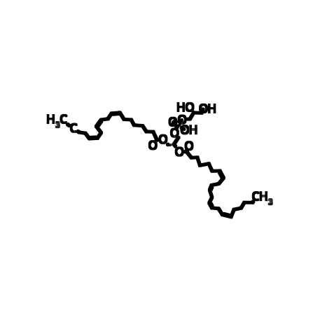 CCCCC/C=C\C/C=C\C/C=C\C/C=C\CCCCCC(=O)O[C@H](COC(=O)CCCCCC/C=C\C/C=C\C/C=C\CCCCC)COP(=O)(O)OC[C@@H](O)CO